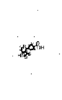 O=C(O)c1ccc(-c2nccc3[nH]cc(F)c23)cc1